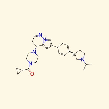 CC(C)N1CC[C@H](C2=CCC(c3cc4n(c3)N=CCC4N3CCN(C(=O)C4CC4)CC3)C=C2)C1